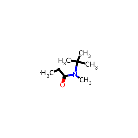 [CH2]CC(=O)N(C)C(C)(C)C